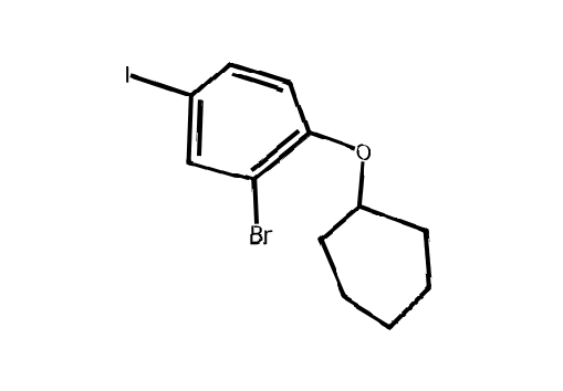 Brc1cc(I)ccc1OC1CCCCC1